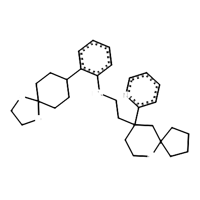 c1ccc(C2(CCNc3ccccc3C3CCC4(CC3)OCCO4)CCOC3(CCCC3)C2)nc1